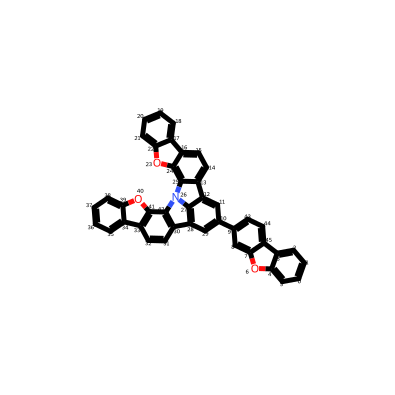 c1ccc2c(c1)oc1cc(-c3cc4c5ccc6c7ccccc7oc6c5n5c4c(c3)c3ccc4c6ccccc6oc4c35)ccc12